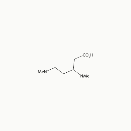 CNCCC(CC(=O)O)NC